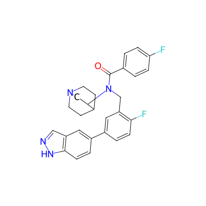 O=C(c1ccc(F)cc1)N(Cc1cc(-c2ccc3[nH]ncc3c2)ccc1F)C1CN2CCC1CC2